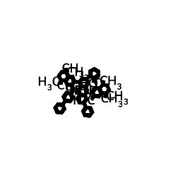 Cc1cc2c(cc1N1c3cc(-c4ccccc4)ccc3Bc3c(-c4cc5c(cc4Nc4ccc(-c6ccccc6)cc4)C(C)(C)CCC5(C)C)cc4c(oc5ccccc54)c31)C(C)(C)CCC2(C)C